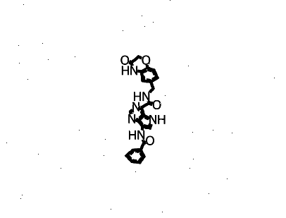 O=C1COc2ccc(CNC(=O)c3ncnc4c(NC(=O)c5ccccc5)c[nH]c34)cc2N1